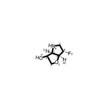 OC1CO[C@H]2[C@@H]1NC[C@@H]2F